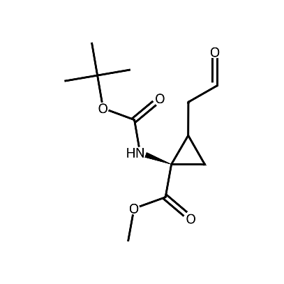 COC(=O)[C@@]1(NC(=O)OC(C)(C)C)CC1CC=O